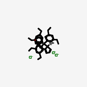 CCc1cc(CC)cc([Si](c2cc(CC)cc(CC)c2)(c2cc(CC)cc(CC)c2)[C]2([Ti+3])C=CC=C2Cc2ccccc2)c1.[Cl-].[Cl-].[Cl-]